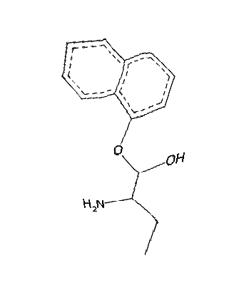 CCC(N)C(O)Oc1cccc2ccccc12